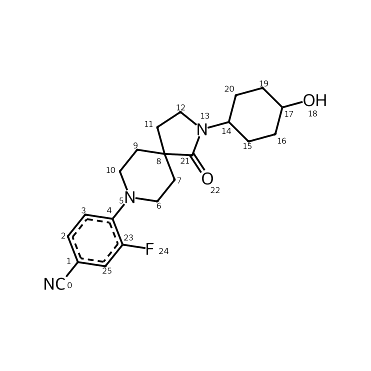 N#Cc1ccc(N2CCC3(CC2)CCN(C2CCC(O)CC2)C3=O)c(F)c1